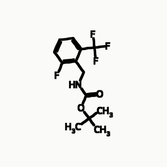 CC(C)(C)OC(=O)NCc1c(F)cccc1C(F)(F)F